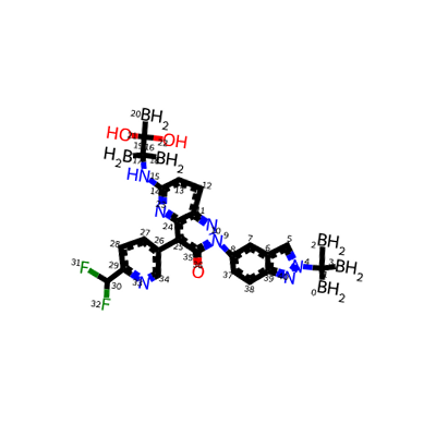 BC(B)(B)n1cc2cc(-n3nc4ccc(NC(B)(B)C(B)(O)O)nc4c(-c4ccc(C(F)F)nc4)c3=O)ccc2n1